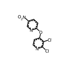 O=[N+]([O-])c1ccc(Oc2ccnc(Cl)c2Cl)nc1